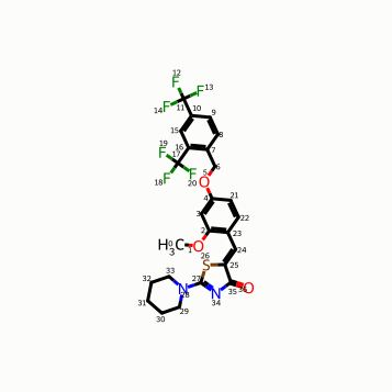 COc1cc(OCc2ccc(C(F)(F)F)cc2C(F)(F)F)ccc1C=C1SC(N2CCCCC2)=NC1=O